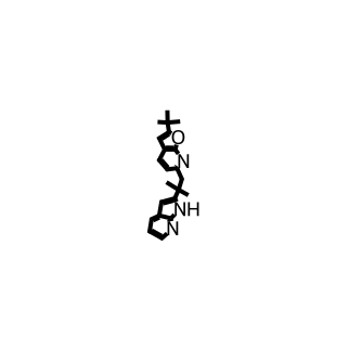 CC(C)(C)c1cc2ccc(CC(C)(C)c3cc4cccnc4[nH]3)nc2o1